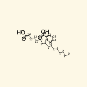 CCCCCCCCCCCCCCCC(=O)O.O=C(O)c1ccccc1